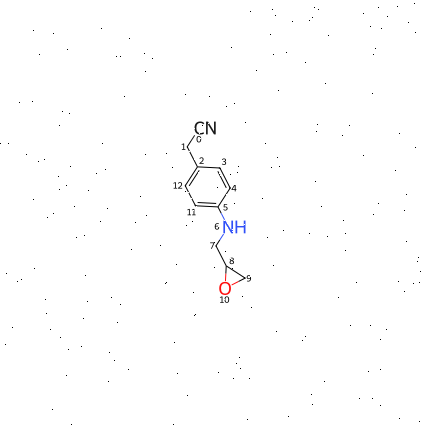 N#CCc1ccc(NCC2CO2)cc1